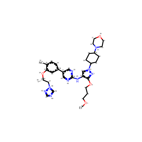 CCOCCCOc1nn(C2CCC(N3CCOCC3)CC2)cc1Nc1ncc(-c2ccc(C#N)c(O[C@@H](C)Cn3cncn3)c2)cn1